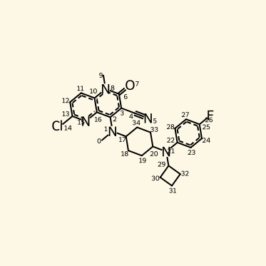 CN(c1c(C#N)c(=O)n(C)c2ccc(Cl)nc12)C1CCC(N(c2ccc(F)cc2)C2CCC2)CC1